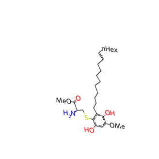 CCCCCC/C=C/CCCCCCCCCc1c(O)c(OC)cc(O)c1SC[C@@H](N)C(=O)OC